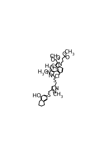 COC(=O)CCn1c(C(=O)OC)c(C)c2c(-c3c(CSCc4cc(CSc5cc(O)c6c(c5)CCCC6)n(C)n4)nn(C)c3C)c(Cl)ccc21